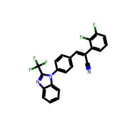 N#C/C(=C\c1ccc(-n2c(C(F)(F)F)nc3ccccc32)cc1)c1cccc(F)c1F